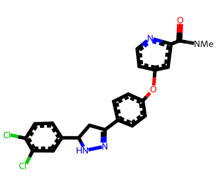 CNC(=O)c1cc(Oc2ccc(C3=NNC(c4ccc(Cl)c(Cl)c4)C3)cc2)ccn1